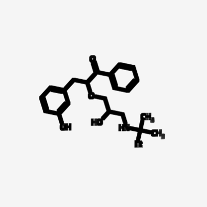 CCC(C)(C)NCC(O)COC(Cc1cccc(O)c1)C(=O)c1ccccc1